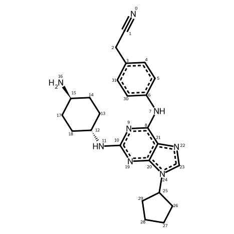 N#CCc1ccc(Nc2nc(N[C@H]3CC[C@H](N)CC3)nc3c2ncn3C2CCCC2)cc1